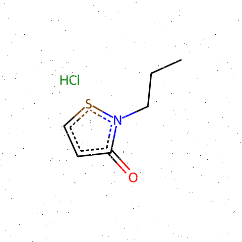 CCCn1sccc1=O.Cl